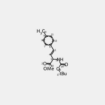 COC(=O)C(C=Cc1ccc(C)cc1)NC(=O)OC(C)(C)C